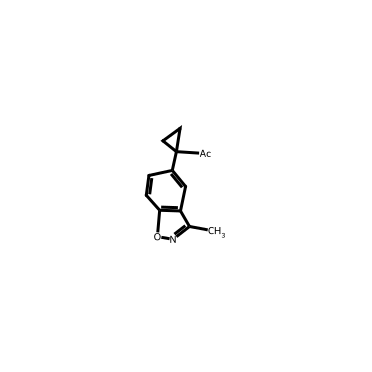 CC(=O)C1(c2ccc3onc(C)c3c2)CC1